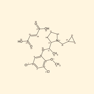 COc1c(Cl)cc(Cl)cc1OC(C)C1CCCN1CC1CC1.O=C(O)/C=C/C(=O)O